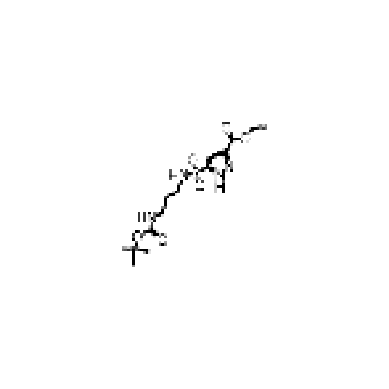 CCOC(=O)c1cc(S(=O)(=O)NCCCNC(=O)OC(C)(C)C)[nH]n1